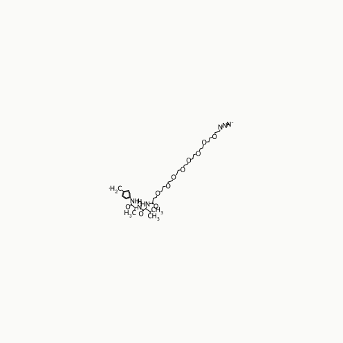 [CH2]c1ccc(NC(=O)[C@H](C)NC(=O)[C@@H](NC(=O)CCOCCOCCOCCOCCOCCOCCOCCOCCN=[N+]=[N-])C(C)C)cc1